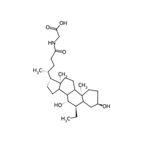 CC[C@@H]1C2C[C@H](O)CC[C@]2(C)C2CC[C@@]3(C)C(CC[C@@H]3[C@H](C)CCC(=O)NCC(=O)O)C2[C@H]1O